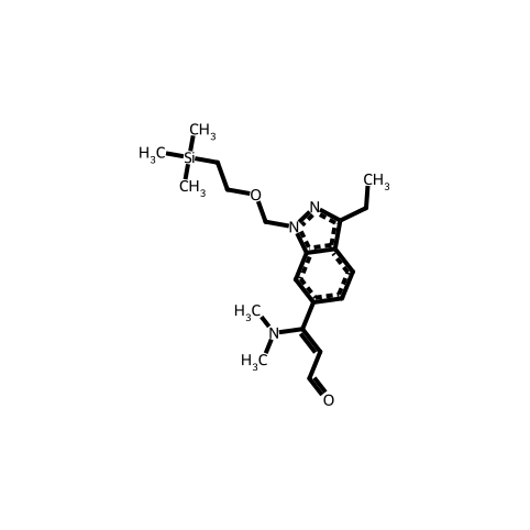 CCc1nn(COCC[Si](C)(C)C)c2cc(/C(=C/C=O)N(C)C)ccc12